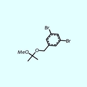 COC(C)(C)OCc1cc(Br)cc(Br)c1